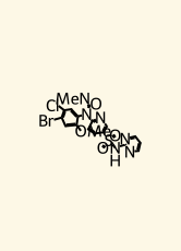 CNC(=O)N(c1ccc(S(=O)(=O)Nc2ncccn2)cn1)c1cc(Cl)c(Br)cc1OC